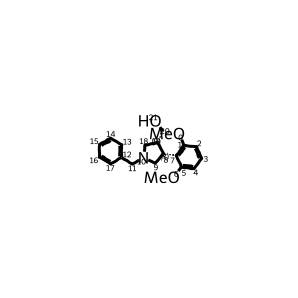 COc1cccc(OC)c1[C@@H]1CN(Cc2ccccc2)C[C@@H]1CO